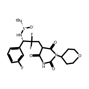 CC(C)(C)[S@+]([O-])N[C@@H](c1cccc(F)c1)C(F)(F)CC1C(=O)NC(=O)N(C2CCOCC2)C1=O